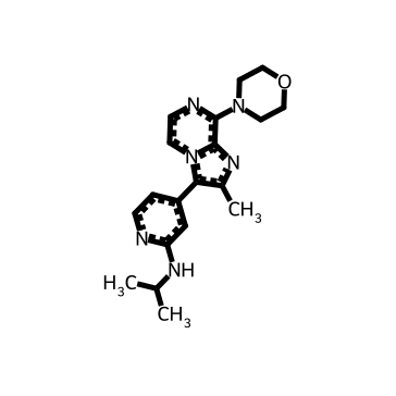 Cc1nc2c(N3CCOCC3)nccn2c1-c1ccnc(NC(C)C)c1